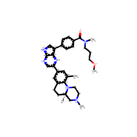 COCCCN(C)C(=O)c1ccc(-c2c[nH]c3ncc(-c4cc(C)c5c(c4)CC[C@@H]4CN(C)CCN54)nc23)cc1